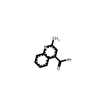 CCCC(=O)c1cc(C)nc2ccccc12